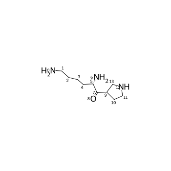 NCCCC[C@H](N)C(=O)C1CCNC1